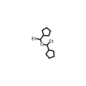 CCC(OC(CC)C1CCCC1)C1CCCC1